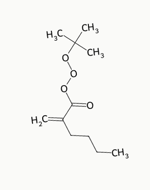 C=C(CCCC)C(=O)OOOC(C)(C)C